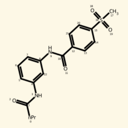 CCCC(=O)Nc1cccc(NC(=O)c2ccc(S(C)(=O)=O)cc2)c1